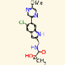 COc1cnc(-c2cc3[nH]c(CNC(=O)[C@@H](C)O)cc3cc2Cl)cn1